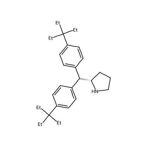 CCC(CC)(CC)c1ccc(C(c2ccc(C(CC)(CC)CC)cc2)[C@@H]2CCCN2)cc1